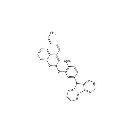 C/C=C\C=C/C1=NB(Oc2cc(-n3c4ccccc4c4ccccc43)ccc2OC)Oc2ccccc21